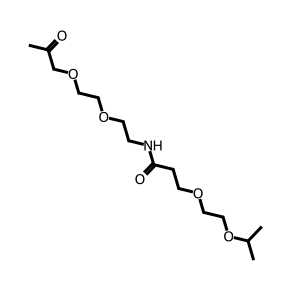 CC(=O)COCCOCCNC(=O)CCOCCOC(C)C